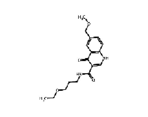 CCOCCCNC(=O)c1c[nH]c2ccc(COC)cc2c1=O